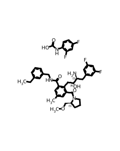 CCc1cccc(CNC(=O)c2cc(C)cc(C(=O)N3CCC[C@H]3COC)c2C[C@@H](O)[C@@H](N)Cc2cc(F)cc(F)c2)c1.O=C(O)Nc1ccc(F)cc1F